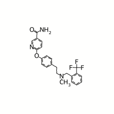 CN(CCc1ccc(Oc2ccc(C(N)=O)cn2)cc1)Cc1ccccc1C(F)(F)F